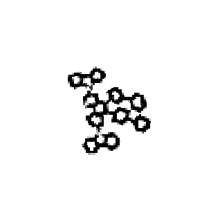 c1ccc(-c2ccc(-c3c(-c4cccc(-c5ccccc5)c4)c4cc(-n5c6ccccc6c6ccccc65)cnc4c4ccc(-n5c6ccccc6c6ccccc65)cc34)cc2)cc1